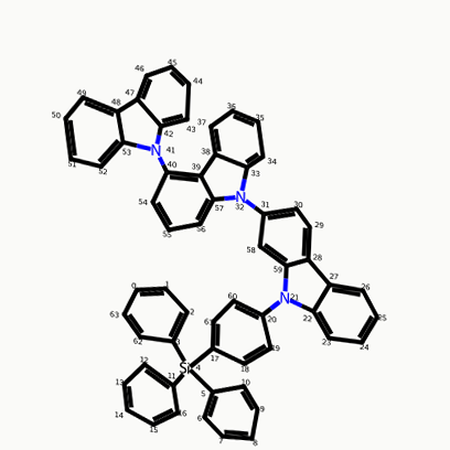 c1ccc([Si](c2ccccc2)(c2ccccc2)c2ccc(-n3c4ccccc4c4ccc(-n5c6ccccc6c6c(-n7c8ccccc8c8ccccc87)cccc65)cc43)cc2)cc1